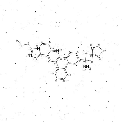 CCCc1nnc2c3cc(-c4ccccc4)c(-c4ccc(C5(N)CC6(C5)OCCO6)cc4)nc3ccn12